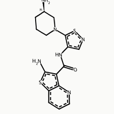 Nc1sc2cccnc2c1C(=O)Nc1cnsc1N1CCC[C@@H](N)C1